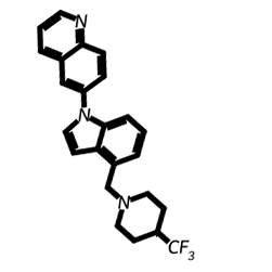 FC(F)(F)[C]1CCN(Cc2cccc3c2ccn3-c2ccc3ncccc3c2)CC1